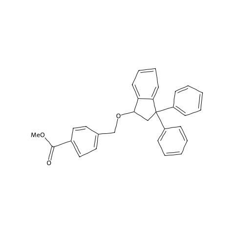 COC(=O)c1ccc(COC2CC(c3ccccc3)(c3ccccc3)c3ccccc32)cc1